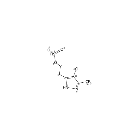 O=[SH](=O)OCCc1[nH]nc(C(F)(F)F)c1Cl